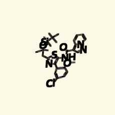 COc1ccc(Cl)cc1-c1nc(CC(C)(C)O[Si](C)(C)C(C)(C)C)sc1NC(=O)c1cnn2ccccc12